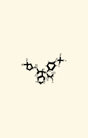 C[C@](C(=O)N[C@H]1CCC(F)(F)C1)(c1cncnc1)N(C(=O)[C@H](F)Cl)c1ccc(OC(F)(F)F)cc1